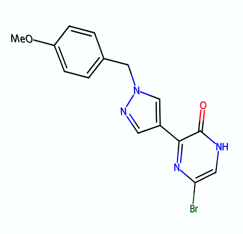 COc1ccc(Cn2cc(-c3nc(Br)c[nH]c3=O)cn2)cc1